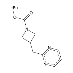 CC(C)(C)OC(=O)N1CC(Cc2ncccn2)C1